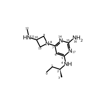 CC[C@H](C)Nc1cc(N2CC(NC)C2)nc(N)n1